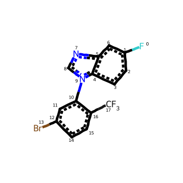 Fc1ccc2c(c1)ncn2-c1cc(Br)ccc1C(F)(F)F